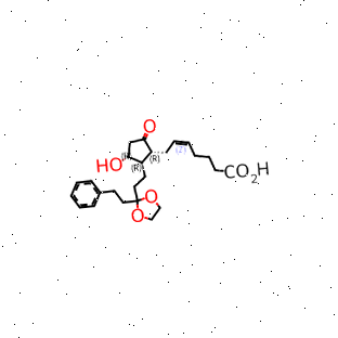 O=C(O)CCC/C=C\C[C@H]1C(=O)C[C@@H](O)[C@@H]1CCC1(CCc2ccccc2)OCCO1